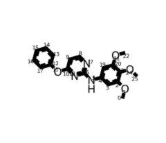 COc1cc(Nc2nccc(Oc3ccccc3)n2)cc(OC)c1OC